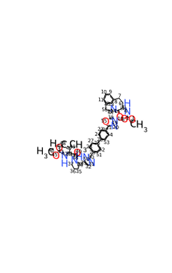 COC(=O)N[C@H]1CCc2cccc3c2N(C1=O)[C@H](c1nnc(-c2ccc(-c4ccc(-c5ncc([C@@H]6CCCN6C(=O)[C@@H](NC(=O)OC)C(C)C)[nH]5)cc4)cc2)o1)C3